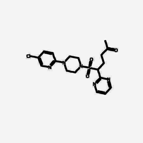 CC(=O)CCC(c1ncccn1)S(=O)(=O)N1CCN(c2ccc(Cl)cn2)CC1